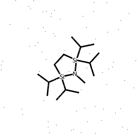 CC(C)[Si]1(C(C)C)CC[Si](C(C)C)(C(C)C)N1C